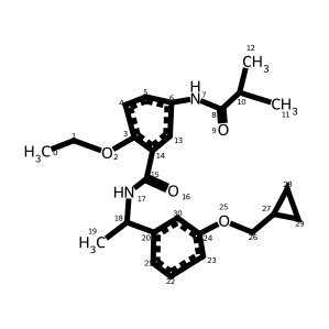 CCOc1ccc(NC(=O)C(C)C)cc1C(=O)NC(C)c1cccc(OCC2CC2)c1